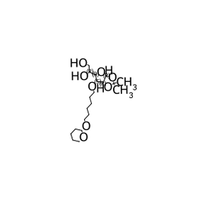 CC1(C)O[C@H]2O[C@H]([C@H](O)CO)[C@H](OCCCCCCOC3CCCCO3)[C@H]2O1